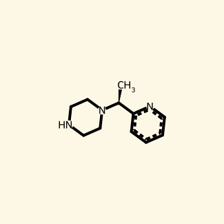 C[C@@H](c1ccccn1)N1CCNCC1